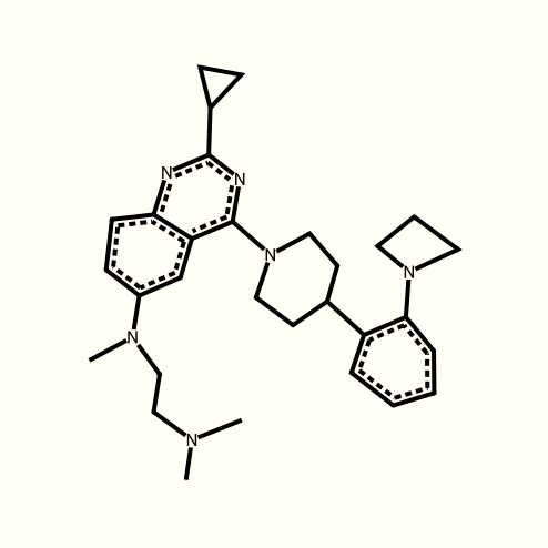 CN(C)CCN(C)c1ccc2nc(C3CC3)nc(N3CCC(c4ccccc4N4CCC4)CC3)c2c1